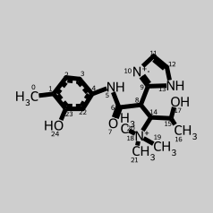 Cc1ccc(NC(=O)C(C2=[N+]C=CN2)C(C(C)O)[N+](C)(C)C)cc1O